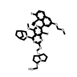 C#Cc1c(F)ccc2cc(OCOC)cc(-c3nc(OC)c4c(N5CC6CCC(C6)C5)nc(OC[C@]56CCCN5[C@@H](CO)CC6)nc4c3F)c12